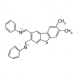 Cc1cc2sc3cc(/C=N/c4ccccc4)c(/C=N/c4ccccc4)cc3c2cc1C